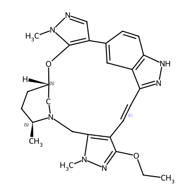 CCOc1nn(C)c2c1/C=C/c1n[nH]c3ccc(cc13)-c1cnn(C)c1O[C@H]1CC[C@H](C)N(C2)C1